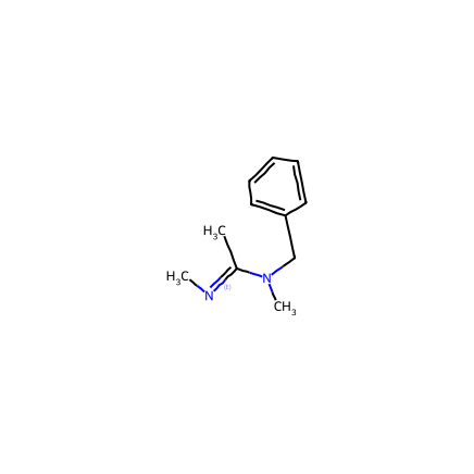 C/N=C(\C)N(C)Cc1ccccc1